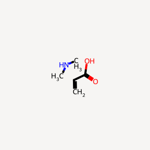 C=CC(=O)O.CNC